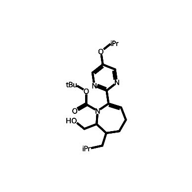 CC(C)CC1CCC=C(c2ncc(OC(C)C)cn2)N(C(=O)OC(C)(C)C)C1CO